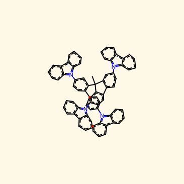 CC1(c2cc(-n3c4ccccc4c4ccccc43)ccc2-c2ccc(-n3c4ccccc4c4ccccc43)cc2)c2cc(-n3c4ccccc4c4ccccc43)ccc2-c2ccc(-n3c4ccccc4c4ccccc43)cc21